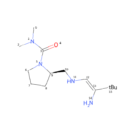 CN(C)C(=O)N1CCC[C@@H]1CN/C=C(\N)C(C)(C)C